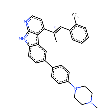 C/C(=C\c1ccccc1C(F)(F)F)c1ccnc2[nH]c3ccc(-c4ccc(N5CCN(C)CC5)cc4)cc3c12